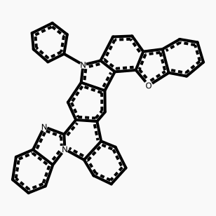 c1ccc(-n2c3cc4c(cc3c3c5oc6ccccc6c5ccc32)c2ccccc2n2c3ccccc3nc42)cc1